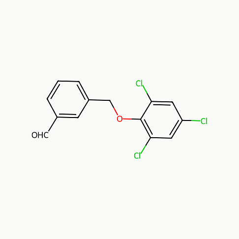 O=Cc1cccc(COc2c(Cl)cc(Cl)cc2Cl)c1